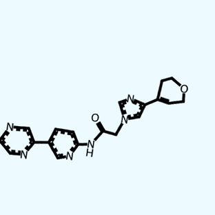 O=C(Cn1cnc(C2=CCOCC2)c1)Nc1ccc(-c2cnccn2)cn1